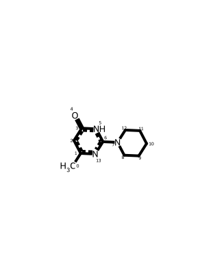 Cc1cc(=O)[nH]c(N2CCCCC2)n1